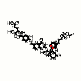 CCOP(C)(=O)OCCCCOC(=O)C1C(C(=O)Nc2nc(=O)c3nc(CNc4ccc(C(=O)N[C@H](CCC(=O)O)C(=O)O)cc4)cnc3[nH]2)[C@H]2C=CC(=O)[C@@H]1N2Cc1ccccc1